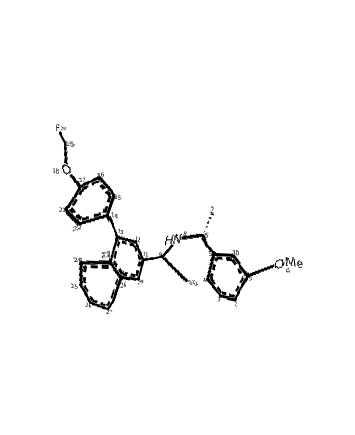 COc1cccc([C@@H](C)NC(C)c2cc(-c3ccc(OCF)cc3)c3ccccc3c2)c1